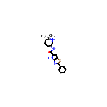 C[Si]1(C)CCCC(NC(=O)c2cc3sc(-c4ccccc4)nc3[nH]2)CN1